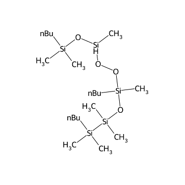 CCCC[Si](C)(C)O[SiH](C)OO[Si](C)(CCCC)O[Si](C)(C)[Si](C)(C)CCCC